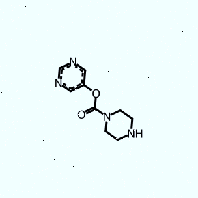 O=C(Oc1cncnc1)N1CCNCC1